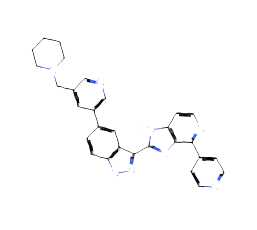 c1cc(-c2nccc3[nH]c(-c4n[nH]c5ccc(-c6cncc(CN7CCCCC7)c6)cc45)nc23)ccn1